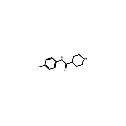 O=C(Nc1ccc(I)cc1)C1CCNCC1